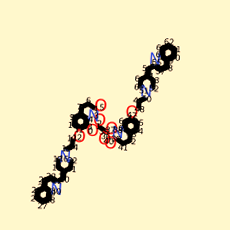 O=C(ON1C(=O)CCc2ccc(OCCCN3CCC(=Cc4ccc5ccccc5n4)CC3)cc21)C(=O)ON1C(=O)CCc2ccc(OCCCN3CCC(=Cc4ccc5ccccc5n4)CC3)cc21